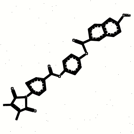 COc1ccc2cc(C(=O)Oc3ccc(OC(=O)c4ccc(N5C(=O)C(C)=C(C)C5=O)cc4)cc3)ccc2c1